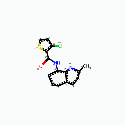 Cc1ccc2cccc(NC(=O)c3sccc3Cl)c2n1